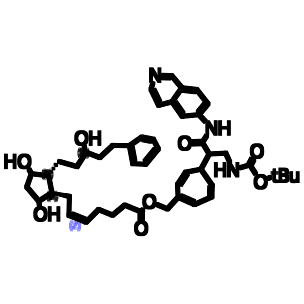 CC(C)(C)OC(=O)NCC(C(=O)Nc1ccc2cnccc2c1)C1C=CC=C(COC(=O)CCC/C=C\C[C@H]2C(O)CC(O)[C@@H]2CC[C@@H](O)CCc2ccccc2)C=C1